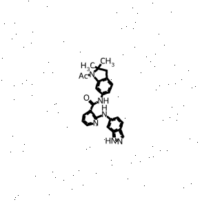 CC(=O)N1c2cc(NC(=O)c3cccnc3Nc3ccc4cn[nH]c4c3)ccc2CC1(C)C